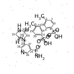 Cc1ccc(S(=O)(=O)O)cc1.Cc1ccc(S(=O)(=O)O)cc1.NC(=O)c1cncc(N2C[C@@H]3C[C@H]2CN3)c1